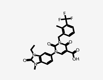 CCn1c(=O)n(C)c2ccc(-n3cc(C(=O)O)c(=O)n(Cc4cccc(C(F)(F)F)c4C)c3=O)cc21